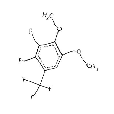 COc1cc(C(F)(F)F)c(F)c(F)c1OC